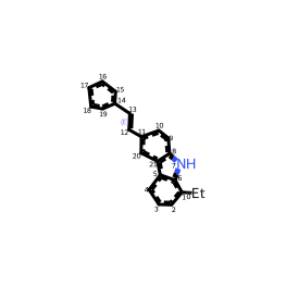 CCc1cccc2c1[nH]c1ccc(/C=C/c3ccccc3)cc12